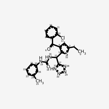 CCc1cc(C(=O)c2ccccc2Cl)c(C(NC(=O)Nc2cccc(C)c2)c2nnn[nH]2)s1